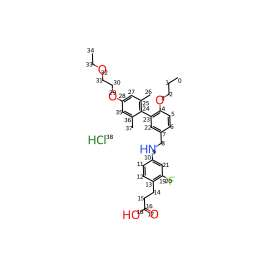 CCCOc1ccc(CNc2ccc(CCC(=O)O)c(F)c2)cc1-c1c(C)cc(OCCOCC)cc1C.Cl